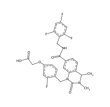 CC1c2ccc(C(=O)NCc3c(F)cc(F)cc3F)cc2N(Cc2ccc(OCC(=O)O)cc2F)C(=O)N1C